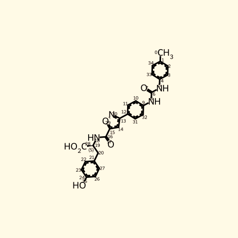 Cc1ccc(NC(=O)Nc2ccc(-c3cc(C(=O)N[C@@H](Cc4ccc(O)cc4)C(=O)O)on3)cc2)cc1